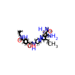 CCCc1cc(N2CCC(NCC(O)c3ccc(C(=O)NCC4CC4)cc3)CC2)nc2sc(C(N)=O)c(N)c12